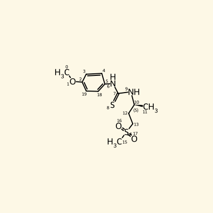 COc1ccc(NC(=S)N[C@@H](C)CCS(C)(=O)=O)cc1